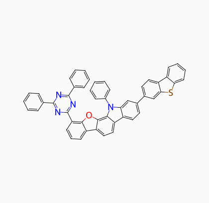 c1ccc(-c2nc(-c3ccccc3)nc(-c3cccc4c3oc3c4ccc4c5ccc(-c6ccc7c(c6)sc6ccccc67)cc5n(-c5ccccc5)c43)n2)cc1